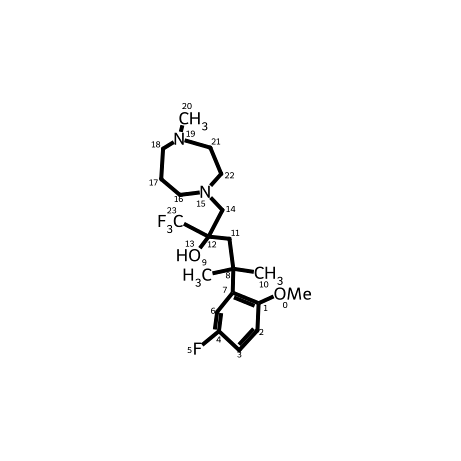 COc1ccc(F)cc1C(C)(C)CC(O)(CN1CCCN(C)CC1)C(F)(F)F